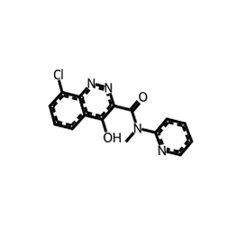 CN(C(=O)c1nnc2c(Cl)cccc2c1O)c1ccccn1